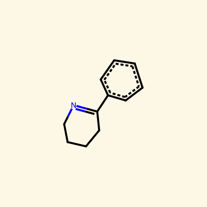 c1ccc(C2=NCCCC2)cc1